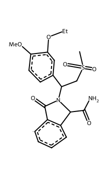 CCOc1cc(C(CS(C)(=O)=O)N2C(=O)c3[c]cccc3C2C(N)=O)ccc1OC